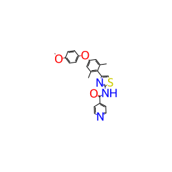 COc1ccc(Oc2cc(C)c(-c3csc(NC(=O)c4ccncc4)n3)c(C)c2)cc1